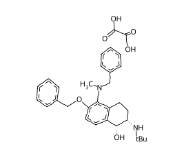 CN(Cc1ccccc1)c1c(OCc2ccccc2)ccc2c1CC[C@H](NC(C)(C)C)[C@@H]2O.O=C(O)C(=O)O